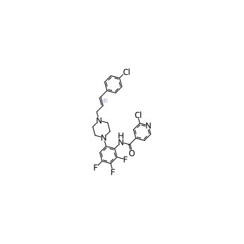 O=C(Nc1c(N2CCN(C/C=C/c3ccc(Cl)cc3)CC2)cc(F)c(F)c1F)c1ccnc(Cl)c1